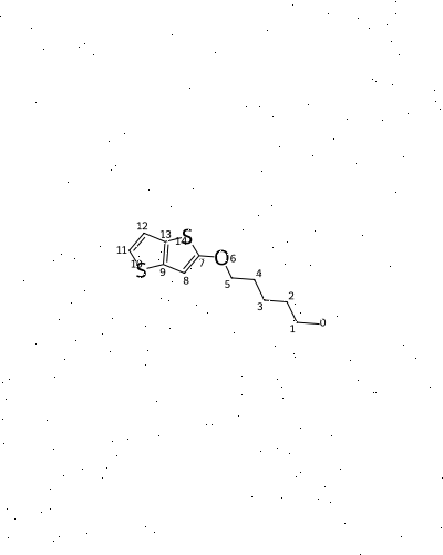 CCCCCCOc1cc2sccc2s1